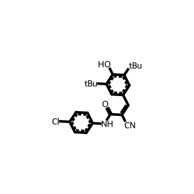 CC(C)(C)c1cc(/C=C(/C#N)C(=O)Nc2ccc(Cl)cc2)cc(C(C)(C)C)c1O